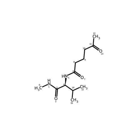 CNC(=O)[C@@H](NC(=O)CCCC(C)=O)C(C)C